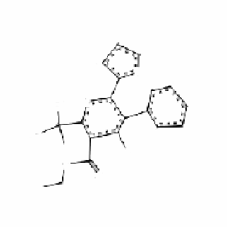 CCOC(=O)c1c(C(F)(F)F)nc(-c2cccs2)c(-c2ccccc2)c1O